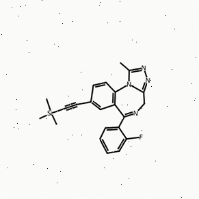 Cc1nnc2n1-c1ccc(C#C[Si](C)(C)C)cc1C(c1ccccc1F)=NC2